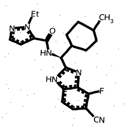 CCn1nccc1C(=O)N[C@H](c1nc2c(F)c(C#N)ccc2[nH]1)C1CCC(C)CC1